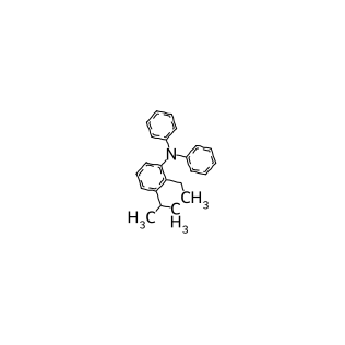 CCc1c(C(C)C)cccc1N(c1ccccc1)c1ccccc1